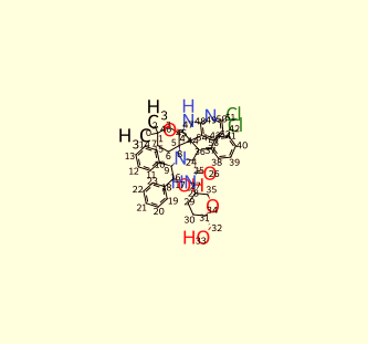 CC1(C)CCC2(CC1)N([C@H](c1ccccc1)[C@@H](O)c1ccccc1)[C@@H](C(=O)N[C@@H]1CC[C@@H](CO)OC1)[C@H](c1cccc(Cl)c1)C21C(=O)Nc2nc(Cl)ccc21